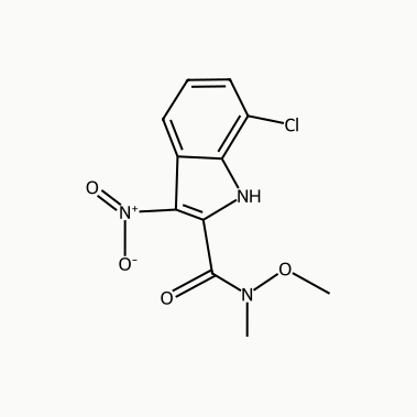 CON(C)C(=O)c1[nH]c2c(Cl)cccc2c1[N+](=O)[O-]